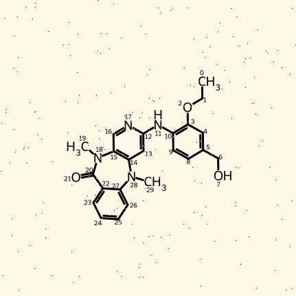 CCOc1cc(CO)ccc1Nc1cc2c(cn1)N(C)C(=O)c1ccccc1N2C